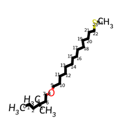 CCCC(C)(C)CCOCCCCCCCCCCCCCCSC